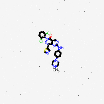 CN1CCN(c2ccc(Nc3ncc4c(=O)n(-c5c(Cl)cccc5Cl)nc(-c5cncs5)c4n3)cc2)CC1